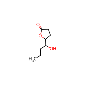 CCCC(O)C1CCC(=O)O1